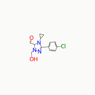 O=CC1N(CO)N=C(c2ccc(Cl)cc2)N1C1CC1